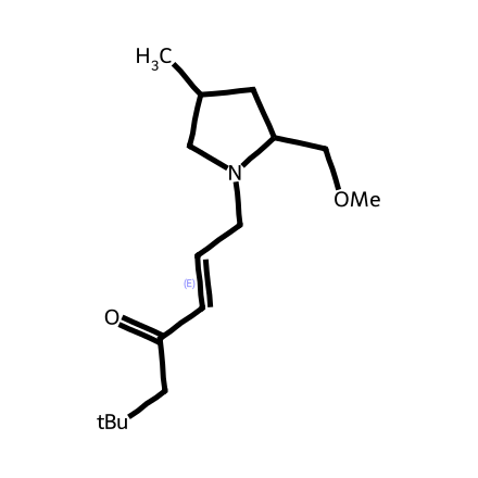 COCC1CC(C)CN1C/C=C/C(=O)CC(C)(C)C